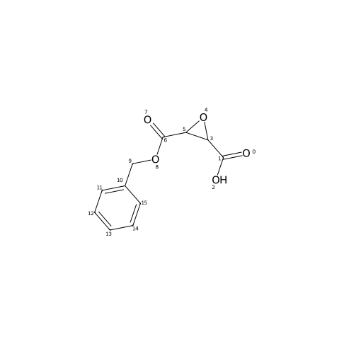 O=C(O)C1OC1C(=O)OCc1ccccc1